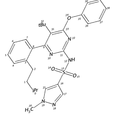 CC(C)CCc1ccccc1-c1nc(NS(=O)(=O)c2cnn(C)c2)nc(Oc2ccccc2)c1C(C)(C)C